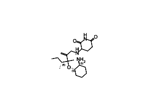 C=C(CNC1CCC(=O)NC1=O)C(C)(O[C@H]1CCCC[C@@H]1N)[C@H](C)CC